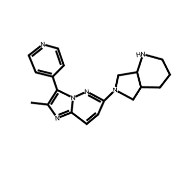 Cc1nc2ccc(N3CC4CCCNC4C3)nn2c1-c1ccncc1